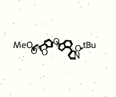 COC(=O)C[C@@H]1COc2cc(O[C@@H]3CCc4c(-c5cccnc5OCC(C)(C)C)cccc43)ccc21